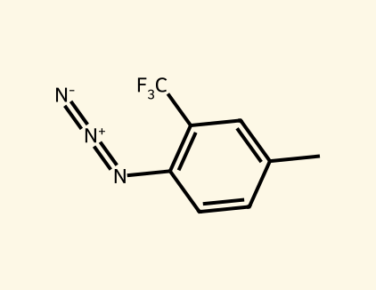 Cc1ccc(N=[N+]=[N-])c(C(F)(F)F)c1